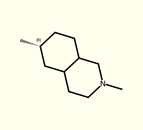 C[C@@H]1CCC2CN(C)CCC2C1